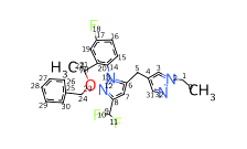 CCn1cc(Cc2cc(C(F)F)nn2-c2ccc(F)cc2[C@@H](C)OCc2ccccc2)cn1